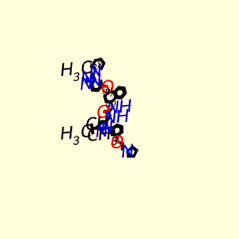 C[C@H]1CCCCN1c1nnc2ccc(O[C@@H]3CC[C@H](NC(=O)Nc4cc(C(C)(C)C)nn4-c4cccc(OCCN5CCCC5)c4)c4ccccc43)cn12